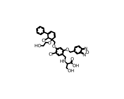 O=C(O)C(CO)NCc1cc(Cl)c(OCC2(OCCO)C=CC=C(c3ccccc3)C2Cl)cc1OCc1ccc2nonc2c1